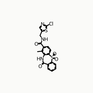 Cc1c(C(=O)NCc2cnc(Cl)s2)ccc2c1NC(=O)c1ccccc1S2(=O)=O